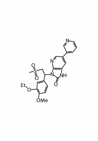 CCOc1cc(C(CS(C)(=O)=O)n2c(=O)[nH]c3cc(-c4cccnc4)cnc32)ccc1OC